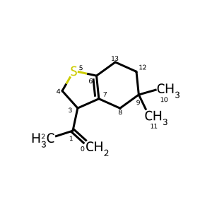 C=C(C)C1CSC2=C1CC(C)(C)CC2